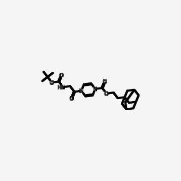 CC(C)(C)OC(=O)NCC(=O)N1C=CN(C(=O)OCCC23CC4CC(CC(C4)C2)C3)C=C1